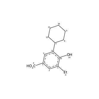 CCc1cc(C(=O)O)cc(C2CCCCC2)c1O